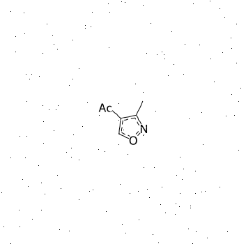 [CH2]C(=O)c1conc1C